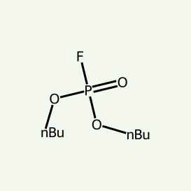 CCCCOP(=O)(F)OCCCC